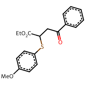 CCOC(=O)C(CC(=O)c1ccccc1)Sc1ccc(OC)cc1